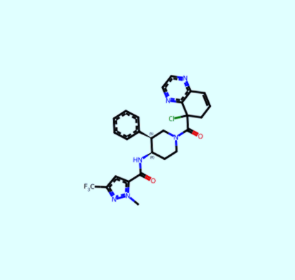 Cn1nc(C(F)(F)F)cc1C(=O)N[C@@H]1CCN(C(=O)C2(Cl)CC=Cc3nccnc32)C[C@@H]1c1ccccc1